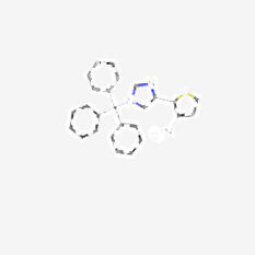 O=[N+]([O-])c1ccsc1-c1cn(C(c2ccccc2)(c2ccccc2)c2ccccc2)cn1